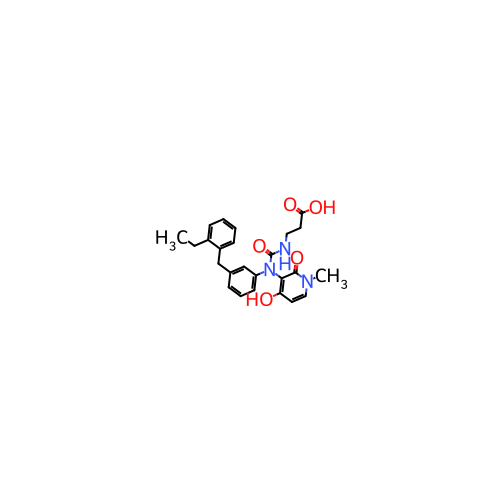 CCc1ccccc1Cc1cccc(N(C(=O)NCCC(=O)O)c2c(O)ccn(C)c2=O)c1